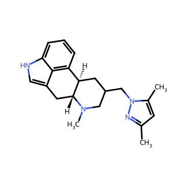 Cc1cc(C)n(CC2C[C@@H]3c4cccc5[nH]cc(c45)C[C@H]3N(C)C2)n1